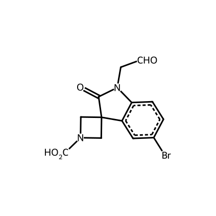 O=CCN1C(=O)C2(CN(C(=O)O)C2)c2cc(Br)ccc21